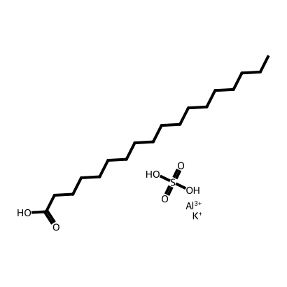 CCCCCCCCCCCCCCCCCC(=O)O.O=S(=O)(O)O.[Al+3].[K+]